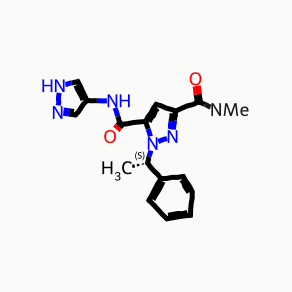 CNC(=O)c1cc(C(=O)Nc2cn[nH]c2)n([C@@H](C)c2ccccc2)n1